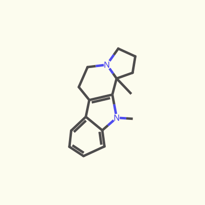 Cn1c2c(c3ccccc31)CCN1CCCC21C